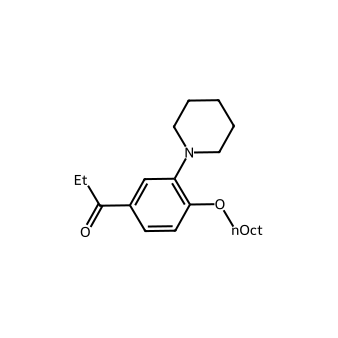 CCCCCCCCOc1ccc(C(=O)CC)cc1N1CCCCC1